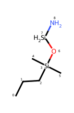 CCC[Si](C)(C)O[SiH2]N